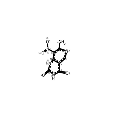 Nc1ncc2c(=O)[nH]c(=O)[nH]c2c1[N+](=O)[O-]